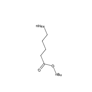 [CH2]CCCCCCCCCC(=O)OCCCC